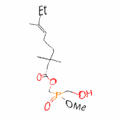 CCC(C)=CCCC(C)(C)C(=O)OCP(=O)(CO)OC